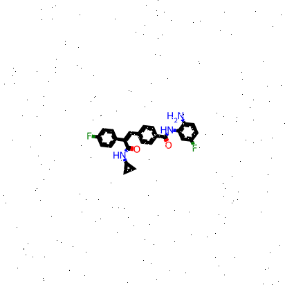 Nc1ccc(F)cc1NC(=O)c1ccc(/C=C(\C(=O)NC2CC2)c2ccc(F)cc2)cc1